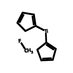 C1=CC[C]([Ti][C]2=CC=CC2)=C1.CF